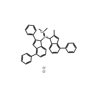 CC1=Cc2c(-c3ccccc3)cccc2[CH]1[Zr+2]([CH]1C(c2ccccc2)=Cc2c(-c3ccccc3)cccc21)=[Ge]([CH3])[CH3].[Cl-].[Cl-]